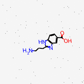 NCCCc1nc2cc(C(=O)O)ccc2[nH]1